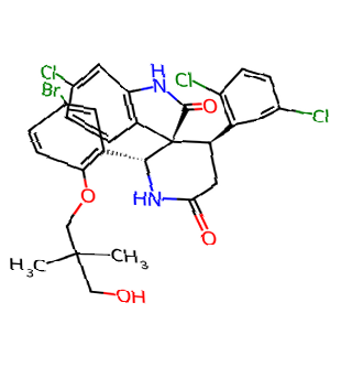 CC(C)(CO)COc1ccc(Br)cc1[C@H]1NC(=O)C[C@H](c2cc(Cl)ccc2Cl)[C@]12C(=O)Nc1cc(Cl)ccc12